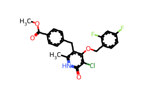 COC(=O)c1ccc(Cc2c(C)[nH]c(=O)c(Cl)c2OCc2ccc(F)cc2F)cc1